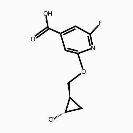 O=C(O)c1cc(F)nc(OC[C@H]2C[C@@H]2Cl)c1